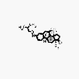 C=C1CC2CC(=NOC[C@@H](C)N)CC[C@]2(C)[C@H]2CC[C@]3(C)C(=O)CC[C@H]3[C@H]12